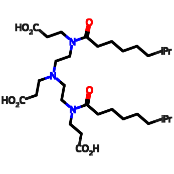 CC(C)CCCCCC(=O)N(CCC(=O)O)CCN(CCC(=O)O)CCN(CCC(=O)O)C(=O)CCCCCC(C)C